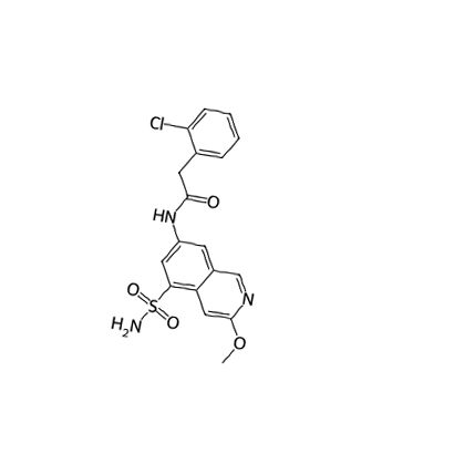 COc1cc2c(S(N)(=O)=O)cc(NC(=O)Cc3ccccc3Cl)cc2cn1